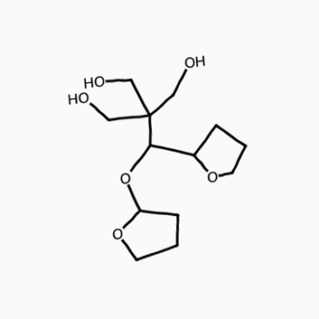 OCC(CO)(CO)C(OC1CCCO1)C1CCCO1